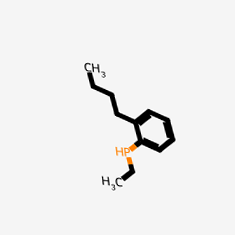 CCCCc1ccccc1PCC